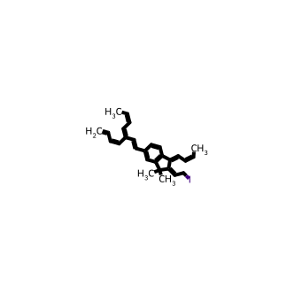 C=C\C=C/C(=C/C=C\C)/C=C/c1ccc2c(c1)C(C)(C)C(=C/CI)/C2=C\C=C/C